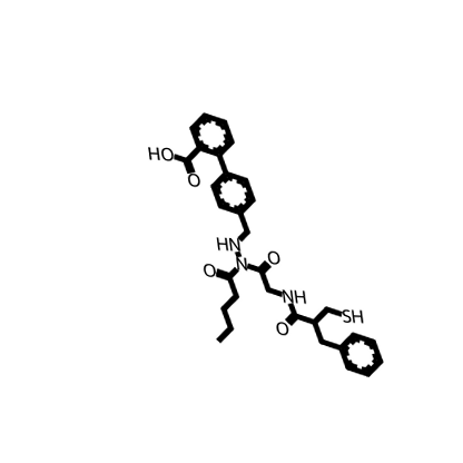 CCCCC(=O)N(NCc1ccc(-c2ccccc2C(=O)O)cc1)C(=O)CNC(=O)C(CS)Cc1ccccc1